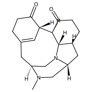 CN1C[C@H]2C[C@H]3CCC(=O)[C@H]4[C@H]3N2C[C@@H]1CC1=C[C@@H]4C(=O)CC1